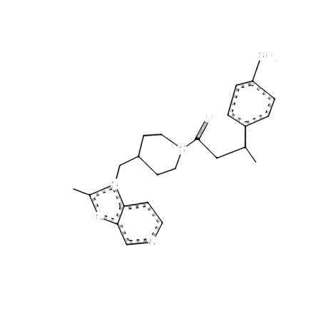 Cc1nc2cnccc2n1CC1CCN(C(=O)CC(C)c2ccc(N)cc2)CC1